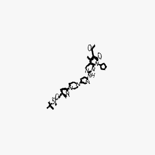 CC(=O)c1c(C)c2cnc(Nc3ccc(N4CCN(c5ccc(CO[Si](C)(C)C(C)(C)C)cn5)CC4)cn3)nc2n(C2CCCC2)c1=O